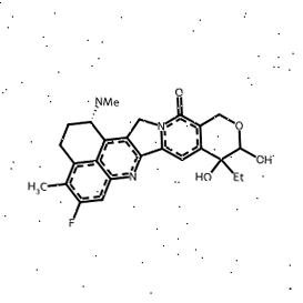 CCC1(O)c2cc3n(c(=O)c2COC1O)Cc1c-3nc2cc(F)c(C)c3c2c1[C@@H](NC)CC3